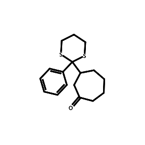 O=C1CCCCC(C2(c3ccccc3)SCCCS2)C1